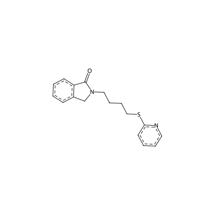 O=C1c2ccccc2CN1CCCCSc1ccccn1